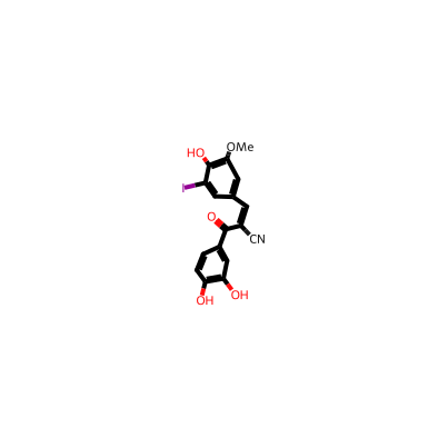 COc1cc(C=C(C#N)C(=O)c2ccc(O)c(O)c2)cc(I)c1O